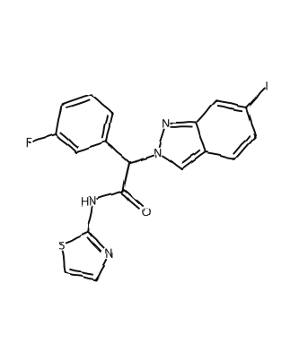 O=C(Nc1nccs1)C(c1cccc(F)c1)n1cc2ccc(I)cc2n1